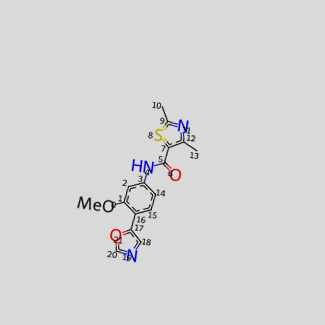 COc1cc(NC(=O)c2sc(C)nc2C)ccc1-c1cnco1